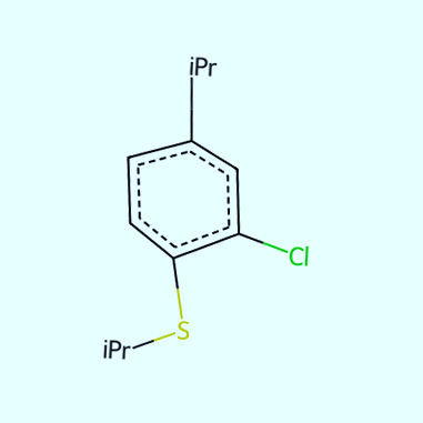 CC(C)Sc1ccc(C(C)C)cc1Cl